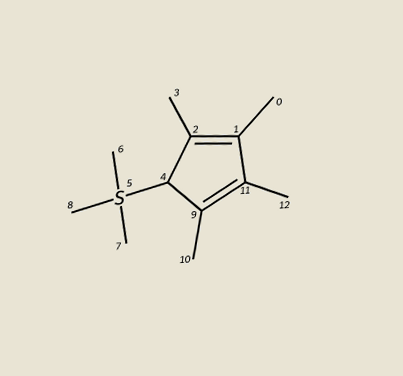 CC1=C(C)C(S(C)(C)C)C(C)=C1C